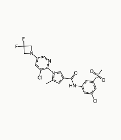 Cc1cc(C(=O)Nc2cc(Cl)cc(S(C)(=O)=O)c2)cn1-c1ncc(N2CC(F)(F)C2)cc1Cl